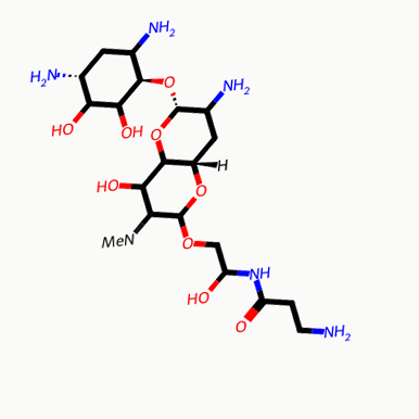 CNC1C(OCC(O)NC(=O)CCN)O[C@H]2CC(N)[C@@H](O[C@@H]3C(N)C[C@@H](N)C(O)C3O)OC2C1O